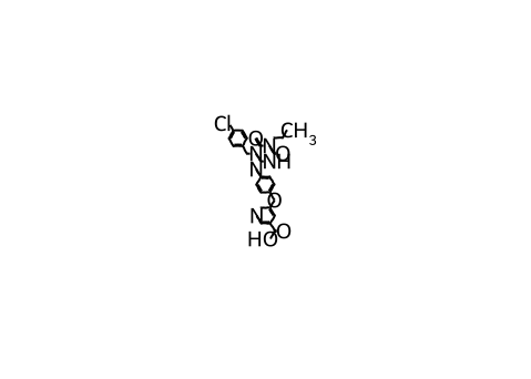 CCCn1c(=O)[nH]/c(=N\c2ccc(Oc3cncc(C(=O)O)c3)cc2)n(Cc2ccc(Cl)cc2)c1=O